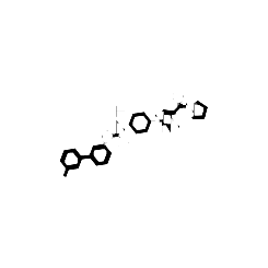 Cc1cccc(-c2cccc(OC(=O)N[C@H]3CC[C@@H](n4cc(C(=O)N5CCCC5)nn4)CC3)c2)c1